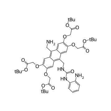 CC(C)(C)OC(=O)COc1cc2c(CN)c3cc(OCC(=O)OC(C)(C)C)c(OCC(=O)OC(C)(C)C)cc3c(CNC(=O)Nc3ccccc3N)c2cc1OCC(=O)OC(C)(C)C